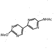 COc1ncc(-c2cnc(NC(C)=O)cn2)cn1